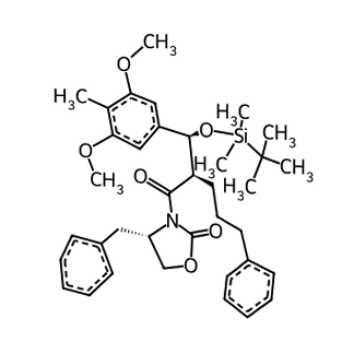 COc1cc([C@@H](O[Si](C)(C)C(C)(C)C)[C@@H](CCCc2ccccc2)C(=O)N2C(=O)OC[C@@H]2Cc2ccccc2)cc(OC)c1C